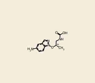 C[C@H](CNC(=O)O)On1ncc2cc(N)ccc21